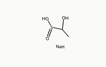 CC(O)S(=O)O.[NaH]